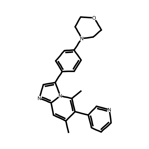 Cc1cc2ncc(-c3ccc(N4CCOCC4)cc3)n2c(C)c1-c1cccnc1